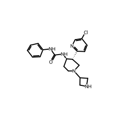 O=C(Nc1ccccc1)N[C@@H]1CCN(C2CNC2)C[C@H]1c1ccc(Cl)cn1